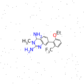 CCOc1cccc(C(F)(F)F)c1-c1ccc2c(c1)N=C(N)N(C)C2N